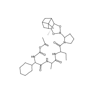 C=C(C)OC(=O)NC(C(=O)NC(C)C(=O)NC(CC)C(=O)N1CCCC1B1OC2C3CC(C[C@]2(C)O1)C3(C)C)C1CCCCC1